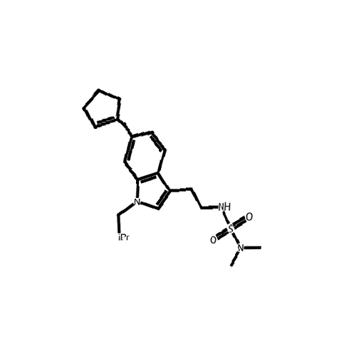 CC(C)Cn1cc(CCNS(=O)(=O)N(C)C)c2ccc(C3=CCCC3)cc21